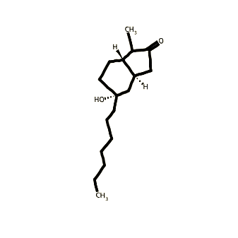 CCCCCCC[C@@]1(O)CC[C@@H]2C(C)C(=O)C[C@H]2C1